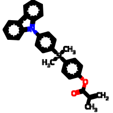 C=C(C)C(=O)Oc1ccc([Si](C)(C)c2ccc(-n3c4ccccc4c4ccccc43)cc2)cc1